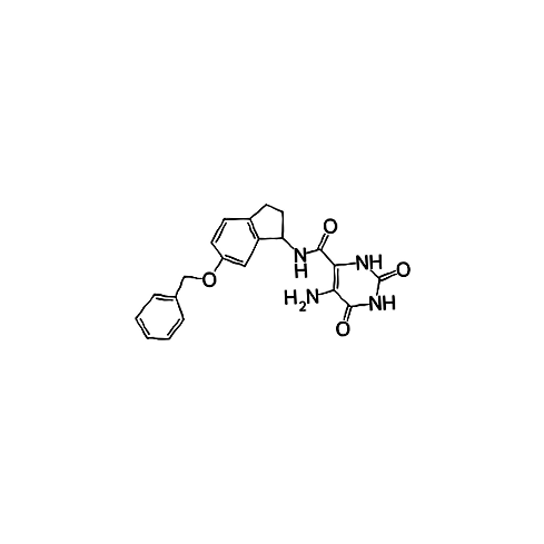 Nc1c(C(=O)NC2CCc3ccc(OCc4ccccc4)cc32)[nH]c(=O)[nH]c1=O